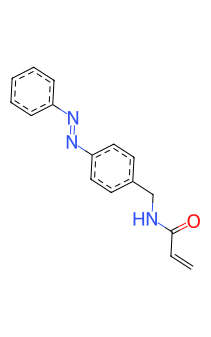 C=CC(=O)NCc1ccc(N=Nc2ccccc2)cc1